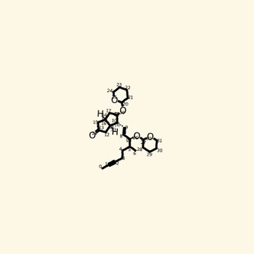 CC#CCCC(C)[C@@H](C=C[C@@H]1[C@H]2CC(=O)C[C@H]2C[C@H]1OC1CCCCO1)OC1CCCCO1